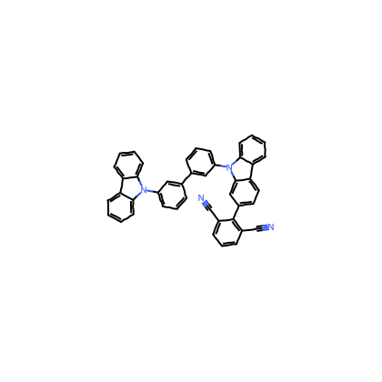 N#Cc1cccc(C#N)c1-c1ccc2c3ccccc3n(-c3cccc(-c4cccc(-n5c6ccccc6c6ccccc65)c4)c3)c2c1